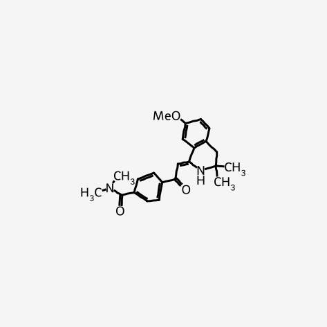 COc1ccc2c(c1)C(=CC(=O)c1ccc(C(=O)N(C)C)cc1)NC(C)(C)C2